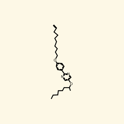 C=CCCCCCCCCOc1ccc(-c2ncc(OC(C)CCCCCC)cn2)cc1